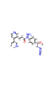 C/C=C(\C=N/C)c1ccncc1/C=C/C(=O)N(N)c1ccc(C(CN=[N+]=[N-])OC)cc1